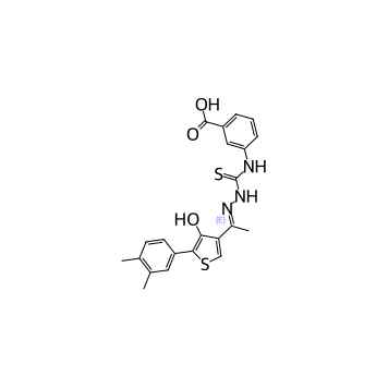 C/C(=N\NC(=S)Nc1cccc(C(=O)O)c1)c1csc(-c2ccc(C)c(C)c2)c1O